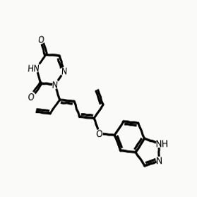 C=C/C(=C\C=C(/C=C)n1ncc(=O)[nH]c1=O)Oc1ccc2[nH]ncc2c1